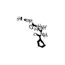 CCCCCCCC(=O)NNC(=N)NC(=O)c1ccccc1